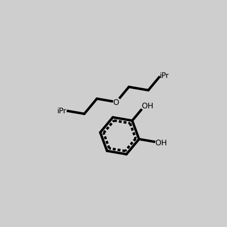 CC(C)CCOCCC(C)C.Oc1ccccc1O